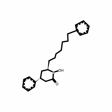 O=C1C[C@H](c2ccccc2)C[C@@H](CCCCCCCc2ccccc2)N1O